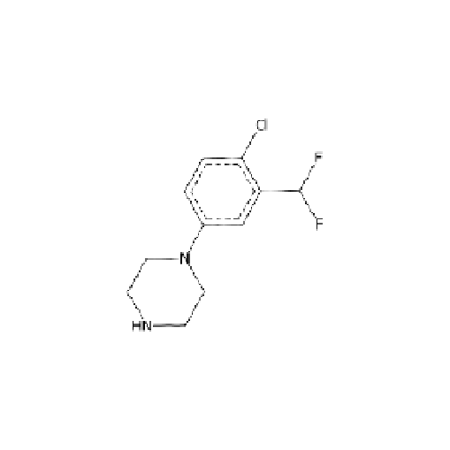 FC(F)c1cc(N2CCNCC2)ccc1Cl